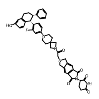 O=C1CC[C@@H](N2C(=O)c3cc4c(cc3C2=O)CN(CC(=O)N2CC3(CCN(c5ccc([C@@H]6c7ccc(O)cc7CC[C@@H]6c6ccccc6)c(F)c5)CC3)C2)C4)C(=O)N1